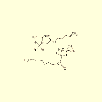 C=CCCCCCC1C(=O)C1C(=O)OC(C)(C)C.[2H]C([2H])([2H])N(CC(=O)OCCCC=C)C(=N)N